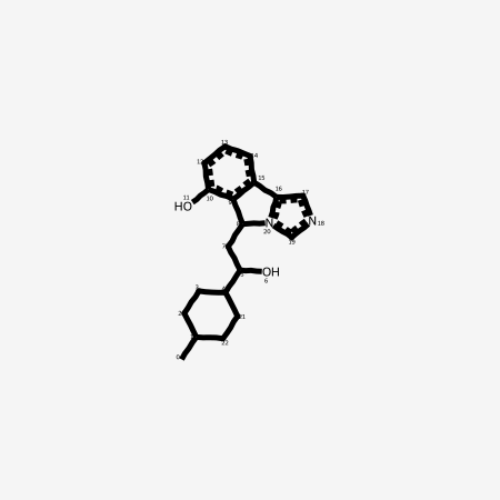 CC1CCC(C(O)CC2c3c(O)cccc3-c3cncn32)CC1